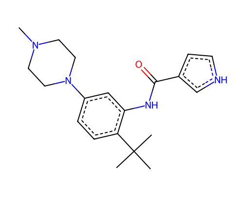 CN1CCN(c2ccc(C(C)(C)C)c(NC(=O)c3cc[nH]c3)c2)CC1